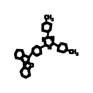 Cc1ccc(-c2nc(-c3ccc(C)cc3)nc(-c3ccc(-c4c5ccccc5n5c4oc4ccccc45)cc3)n2)cc1